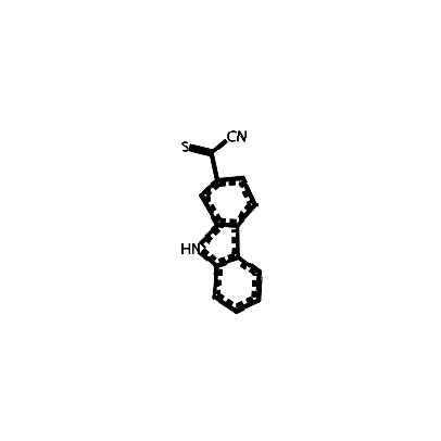 N#CC(=S)c1ccc2c(c1)[nH]c1ccccc12